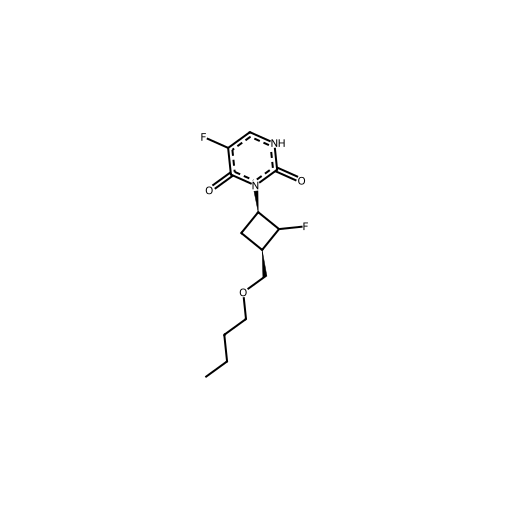 CCCCOC[C@H]1C[C@@H](n2c(=O)[nH]cc(F)c2=O)C1F